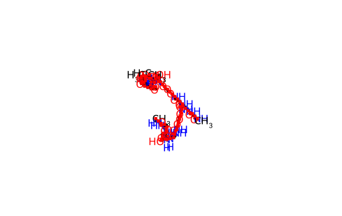 CCCNC(=O)Nc1cccc(S(=O)(=O)Nc2cccc([C@@H](CC(=O)O)NC(=O)Nc3ccc(NC(=O)NCCOCCOCCOCCNC(=O)[C@H](CCCCNC(=O)CCCC(=O)NC)NC(=O)CCCC(=O)NCCOCCOCCOCCC(=O)N[C@@H](CC(=O)O)C(=O)N4CCC[C@H]4C(=O)N[C@H](C(=O)O[C@]4(CC)C(=O)OCC5=C4C=C4CC(Cc6cc7cc8c(cc7nc64)OCO8)C5=O)C(C)C)cc3)c2)c1